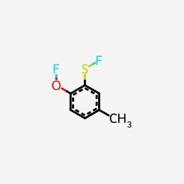 Cc1ccc(OF)c(SF)c1